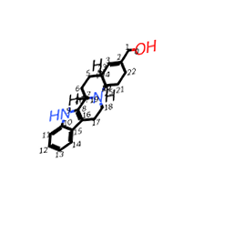 OCC1=C[C@H]2CC[C@H]3c4[nH]c5ccccc5c4CCN3[C@@H]2CC1